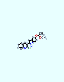 COC(C)Oc1ccc2[nH]c(-c3cc4ccccc4nc3Cl)cc2c1